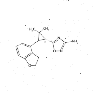 CC1(C)C(c2cccc3c2CCO3)[C@H]1c1nc(N)no1